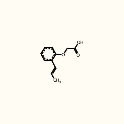 CC=Cc1ccccc1OCC(=O)O